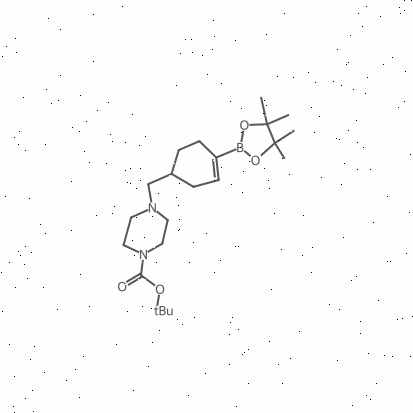 CC(C)(C)OC(=O)N1CCN(CC2CC=C(B3OC(C)(C)C(C)(C)O3)CC2)CC1